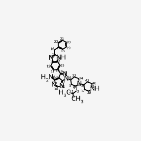 CC(C)C[C@@H]1CC(n2nc(-c3ccc4nc(Cc5ccccc5)[nH]c4c3)c3c(N)ncnc32)CCN1C1CCNCC1